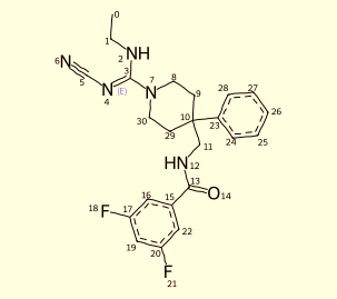 CCN/C(=N\C#N)N1CCC(CNC(=O)c2cc(F)cc(F)c2)(c2ccccc2)CC1